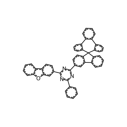 c1ccc(-c2nc(-c3ccc4c(c3)-c3ccccc3C43c4ccccc4-c4ccccc4-c4ccccc43)nc(-c3ccc4c(c3)oc3ccccc34)n2)cc1